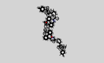 Cc1ccc(S(=O)(=O)NC(=O)C2CCCN(C(=O)/C=C/c3ccc(Sc4ccc(/C=C/C(=O)N5CCCC(C(=O)NS(=O)(=O)c6ccc(C)cc6)C5)c(-c5ccccc5C(C)C)c4[N+](=O)[O-])c([N+](=O)[O-])c3-c3ccccc3C(C)C)C2)cc1